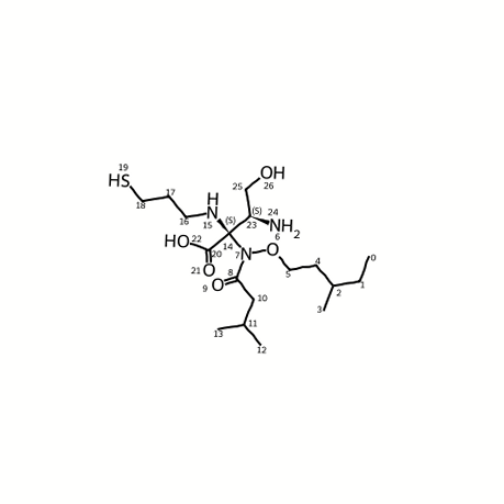 CCC(C)CCON(C(=O)CC(C)C)[C@](NCCCS)(C(=O)O)[C@H](N)CO